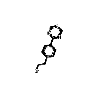 BrCCc1ccc(-c2ncncn2)cc1